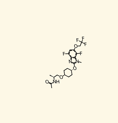 CC(=O)N[C@@H](C)CO[C@H]1CC[C@H](Oc2nc3c(F)cc(OCC(F)(F)F)c(F)c3n2C)CC1